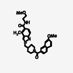 COCCNC(=O)c1ccc2nn(CC3CCN(C(=O)c4ccc5ccc(OC)cc5c4)CC3)cc2c1C